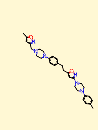 Cc1ccc(N2CCN(c3cc(CCc4ccc(N5CCN(Cc6cc(C)on6)CC5)cc4)on3)CC2)cc1